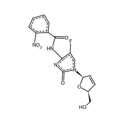 O=C(Nc1nc(=O)n([C@H]2C=C[C@@H](CO)O2)cc1F)c1ccccc1[N+](=O)[O-]